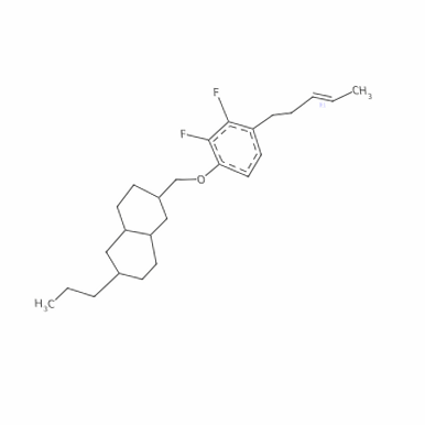 C/C=C/CCc1ccc(OCC2CCC3CC(CCC)CCC3C2)c(F)c1F